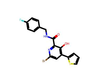 O=C(NCc1ccc(F)cc1)c1nc(Br)cc(-c2cccs2)c1O